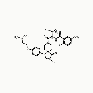 Cc1ccc(F)c(C(=O)N[C@@H](C(=O)N2CCC3(CC2)C(=O)N(C)CN3c2ccc(OCCN(C)C)cc2)C(C)C)c1